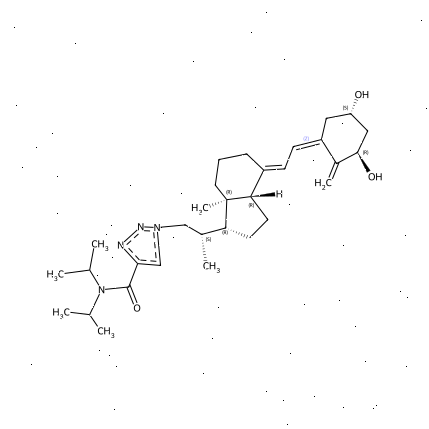 C=C1/C(=C\C=C2CCC[C@]3(C)[C@@H]([C@H](C)Cn4cc(C(=O)N(C(C)C)C(C)C)nn4)CC[C@@H]23)C[C@H](O)C[C@H]1O